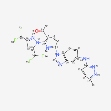 CC(=O)c1ccc(-n2cnc3cc(Nc4ccc(C)nn4)ccc32)nc1-n1nc(C(F)F)cc1C(F)F